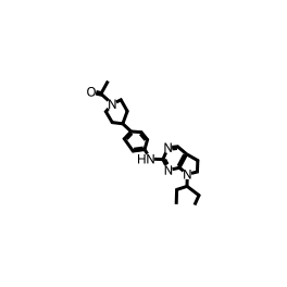 CCC(CC)N1CCc2cnc(Nc3ccc(C4CCN(C(C)=O)CC4)cc3)nc21